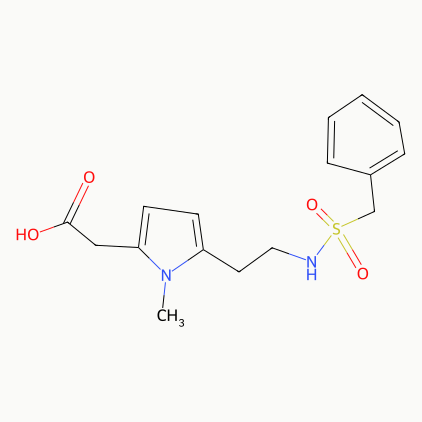 Cn1c(CCNS(=O)(=O)Cc2ccccc2)ccc1CC(=O)O